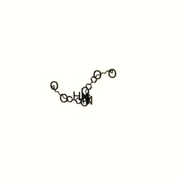 C1=NN(Oc2ccc(-c3ccc(OCCCCC4CO4)cc3)cc2)NC(Oc2ccc(-c3ccc(OCCCCC4CO4)cc3)cc2)=C1